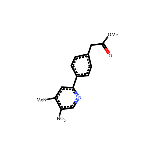 CNc1cc(-c2ccc(CC(=O)OC)cc2)ncc1[N+](=O)[O-]